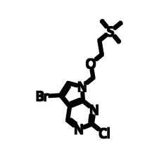 CS(C)(C)CCOCn1cc(Br)c2cnc(Cl)nc21